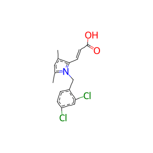 Cc1cc(C)n(Cc2ccc(Cl)cc2Cl)c1C=CC(=O)O